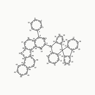 c1ccc(-c2nc(N3c4ccccc4C4(c5ccccc5-c5ccccc54)c4ccccc43)nc3c2ccc2sc4c5ccccc5ccc4c23)cc1